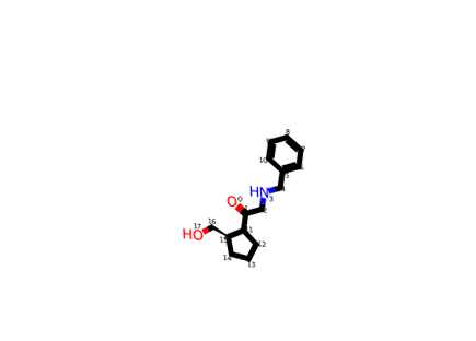 O=C(CNCc1ccccc1)C1CCC[C@H]1CO